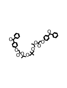 CC(COCC(C)(C)COCC(C)OC(=O)COc1ccc(C(=O)c2ccccc2)cc1)OC(=O)COc1ccc(C(=O)c2ccccc2)cc1